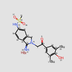 Br.CC(C)(C)c1cc(C(=O)CN2Cc3cc(NS(C)(=O)=O)ccc3C2=N)cc(C(C)(C)C)c1O